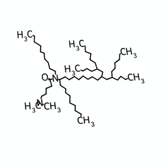 CCCCCCCCCCN(C(=O)CCCCN(C)C)C(CCCCCCCCC)CCCCCCCCC(CC(CCCC)CCCCCC)CC(CCCC)CCCCCC